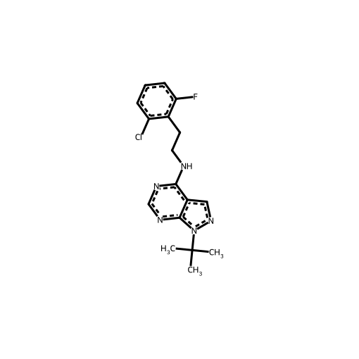 CC(C)(C)n1ncc2c(NCCc3c(F)cccc3Cl)ncnc21